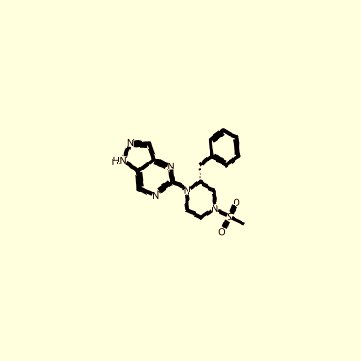 CS(=O)(=O)N1CCN(c2ncc3[nH]ncc3n2)[C@H](Cc2ccccc2)C1